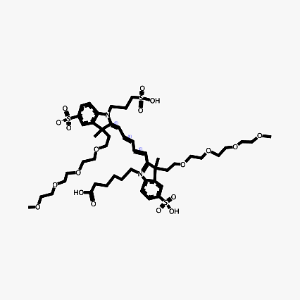 COCCOCCOCCOCCC1(C)C(/C=C/C=C/C=C2/N(CCCS(=O)(=O)O)c3ccc(S(=O)(=O)[O-])cc3C2(C)CCOCCOCCOCCOC)=[N+](CCCCCC(=O)O)c2ccc(S(=O)(=O)O)cc21